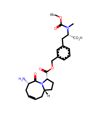 CN(C(=O)OC(C)(C)C)[C@@H](Cc1cccc(COC(=O)[C@@H]2CC[C@@H]3C/C=C\C[C@H](N)C(=O)N32)c1)C(=O)O